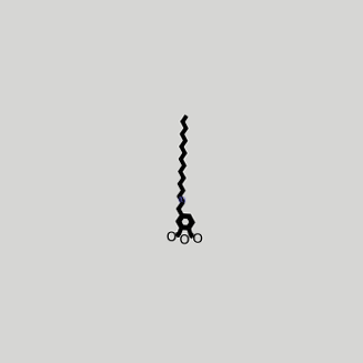 CCCCCCCCCCCCC/C=C/Cc1ccc2c(c1)C(=O)OC2=O